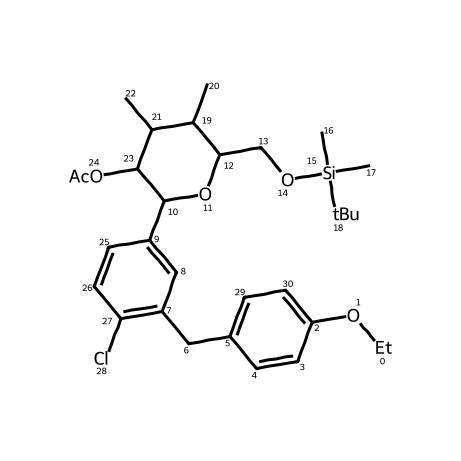 CCOc1ccc(Cc2cc(C3OC(CO[Si](C)(C)C(C)(C)C)C(C)C(C)C3OC(C)=O)ccc2Cl)cc1